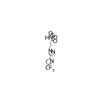 CS(=O)(=O)NC(=O)CCCn1cc(-c2ccc(C(F)(F)F)cn2)cn1